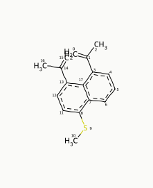 C=C(C)c1cccc2c(SC)ccc(C(=C)C)c12